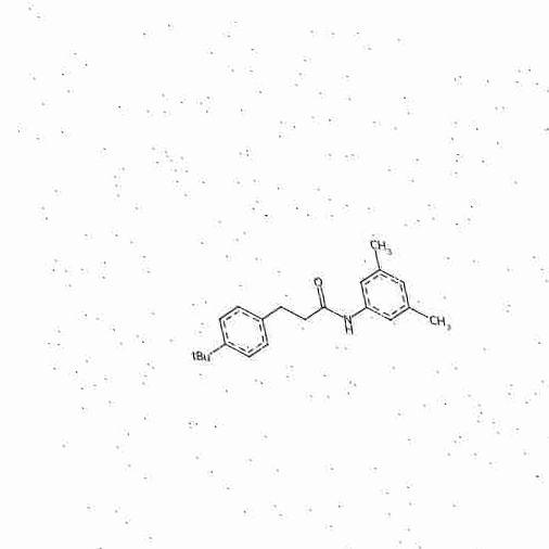 Cc1cc(C)cc(NC(=O)CCc2ccc(C(C)(C)C)cc2)c1